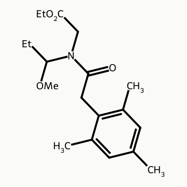 CCOC(=O)CN(C(=O)Cc1c(C)cc(C)cc1C)C(CC)OC